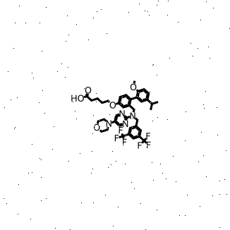 COc1ccc(C(C)C)cc1-c1ccc(OCCCCC(=O)O)cc1CN(Cc1cc(C(F)(F)F)cc(C(F)(F)F)c1)c1ncc(N2CCOCC2)cn1